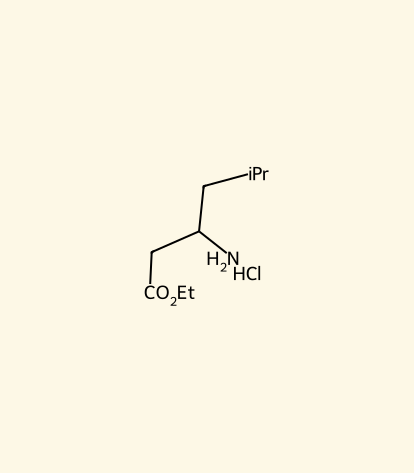 CCOC(=O)CC(N)CC(C)C.Cl